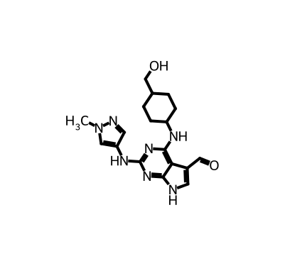 Cn1cc(Nc2nc(NC3CCC(CO)CC3)c3c(C=O)c[nH]c3n2)cn1